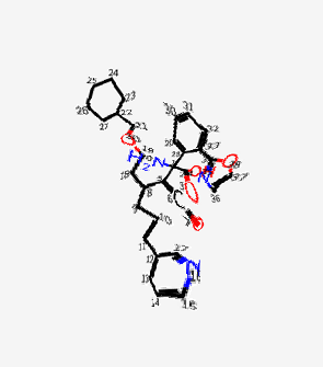 NC(C(=O)O)(C(=C=O)C(CC=Cc1cccnc1)CCOCC1CCCCC1)c1ccccc1-c1ncco1